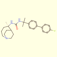 CC(C)(NC(=O)N[C@]1(C)CCCN2CCC1CC2)c1ccc(-c2ccc(F)cc2)cc1